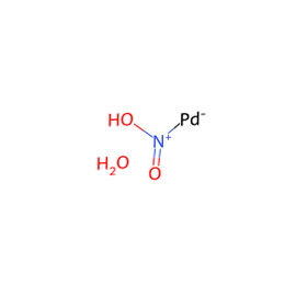 O.O=[N+](O)[Pd-]